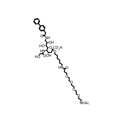 CC(=O)NCCOCCOCCOCCOCCC(=O)NCCCCCCO[C@]1(C(=O)O)C[C@H](O)[C@@H](NC(=O)CO)[C@H]([C@H](O)[C@H](O)CNC(=O)Cc2ccc(-c3ccccc3)cc2)O1